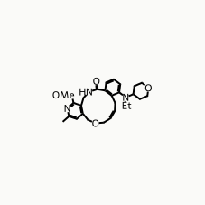 CCN(c1cccc2c1C/C=C\COCc1cc(C)nc(OC)c1CNC2=O)C1CCOCC1